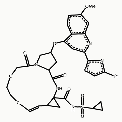 COc1ccc2c(OC3CC4C(=O)NC5(C(=O)NS(=O)(=O)C6CC6)CC5/C=C/CCCCCC(=O)N4C3)cc(-c3nc(C(C)C)cs3)nc2c1